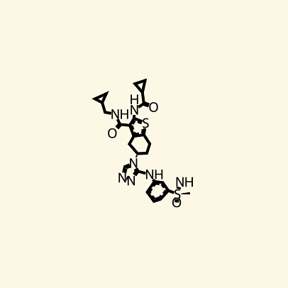 C[S@@](=N)(=O)c1cccc(Nc2nncn2[C@H]2CCc3sc(NC(=O)C4CC4)c(C(=O)NCC4CC4)c3C2)c1